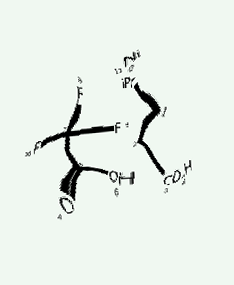 CC(C)CCC(=O)O.O=C(O)C(F)(F)F.[Ni]